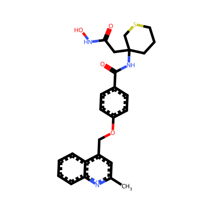 Cc1cc(COc2ccc(C(=O)NC3(CC(=O)NO)CCCSC3)cc2)c2ccccc2n1